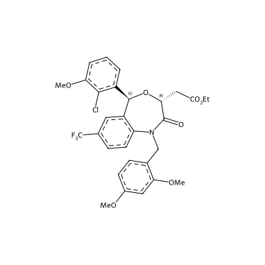 CCOC(=O)C[C@H]1O[C@H](c2cccc(OC)c2Cl)c2cc(C(F)(F)F)ccc2N(Cc2ccc(OC)cc2OC)C1=O